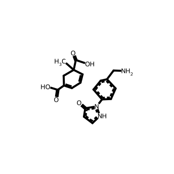 CC1(C(=O)O)C=CC=C(C(=O)O)C1.NCc1ccc(-n2[nH]ccc2=O)cc1